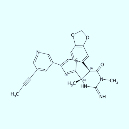 CC#Cc1cncc(-c2csc([C@@]3(C)NC(=N)N(C)C(=O)[C@@H]3c3ccc4c(c3)OCO4)n2)c1